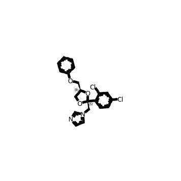 Clc1ccc([C@]2(Cn3ccnc3)OC[C@@H](COc3cc[c]cc3)O2)c(Cl)c1